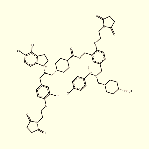 CCc1cc(CN(C[C@H]2CC[C@H](C(=O)OCc3cc(CN(C[C@H]4CC[C@H](C(=O)O)CC4)[C@@H](C)c4ccc(Cl)cc4)ccc3OCCN3C(=O)CCC3=O)CC2)[C@H]2CCc3c2ccc(Cl)c3Cl)ccc1OCCN1C(=O)CCC1=O